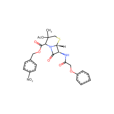 CC(=O)OC1(C)CS[C@@H]2[C@@H](NC(=O)COc3ccccc3)C(=O)N2C1C(=O)OCc1ccc([N+](=O)[O-])cc1